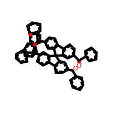 O=C(c1ccccc1)c1ccc2c(c1)C1(c3cc(C(=O)c4ccccc4)ccc3-c3ccc(C(c4ccccc4)c4ccccc4)cc31)c1cc(C(c3ccccc3)c3ccccc3)ccc1-2